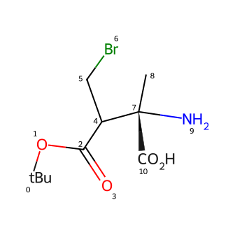 CC(C)(C)OC(=O)C(CBr)[C@](C)(N)C(=O)O